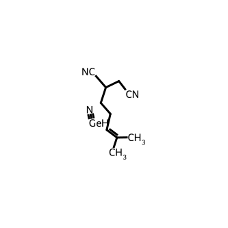 CC(C)=CCCC(C#N)CC#N.[N]#[GeH]